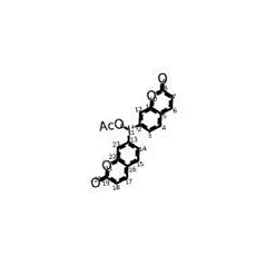 CC(=O)O[I+](c1ccc2ccc(=O)oc2c1)c1ccc2ccc(=O)oc2c1